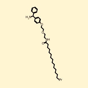 CC(C)CCCCCCCCCCCCCCC(=O)NCCOCCOc1ccc(C(N)c2ccccc2)cc1